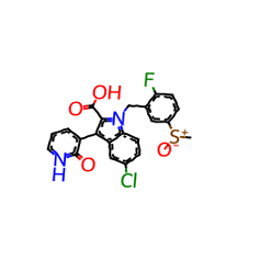 C[S+]([O-])c1ccc(F)c(Cn2c(C(=O)O)c(-c3ccc[nH]c3=O)c3cc(Cl)ccc32)c1